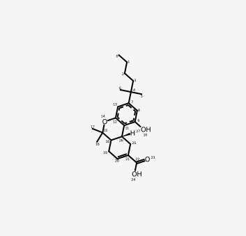 CCCCC(C)(C)c1cc(O)c2c(c1)OC(C)(C)C1CC=C(C(=O)O)C[C@@H]21